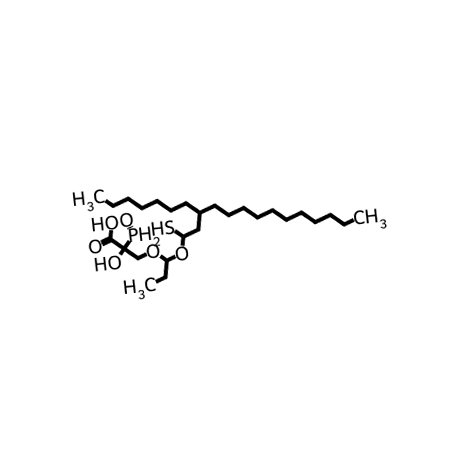 CCCCCCCCCCCC(CCCCCCC)CC(S)OC(CC)OCC(O)([PH2]=O)C(=O)O